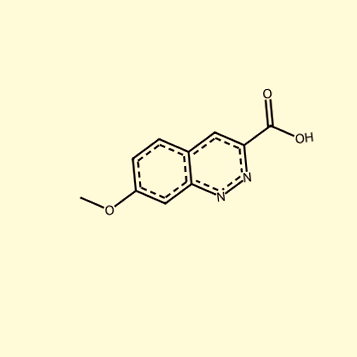 COc1ccc2cc(C(=O)O)nnc2c1